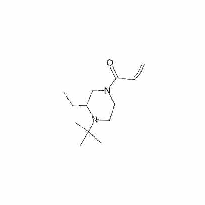 C=CC(=O)N1CCN(C(C)(C)C)C(CC)C1